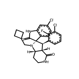 O=C1NCC[C@H]2[C@@H]1[C@H](c1cccc(Cl)c1F)[C@]1(C(=O)Nc3cc(Cl)ccc31)N2CC1CCC1